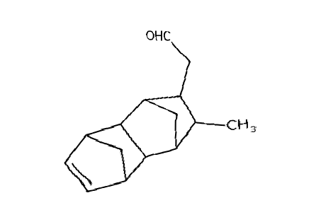 CC1C(CC=O)C2CC1C1C3C=CC(C3)C21